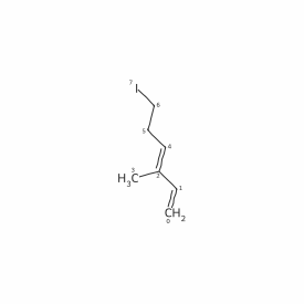 C=C/C(C)=C/CCI